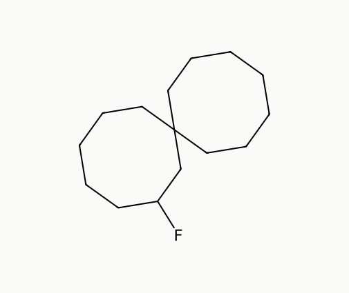 FC1CCCCCC2(CCCCCCC2)C1